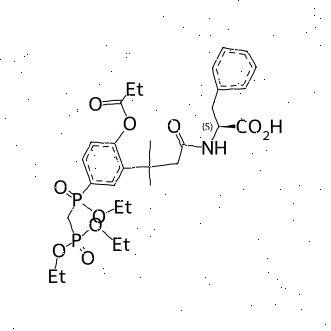 CCOP(=O)(CP(=O)(OCC)c1ccc(OC(=O)CC)c(C(C)(C)CC(=O)N[C@@H](Cc2ccccc2)C(=O)O)c1)OCC